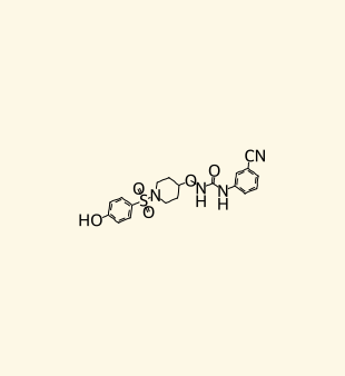 N#Cc1cccc(NC(=O)NOC2CCN(S(=O)(=O)c3ccc(O)cc3)CC2)c1